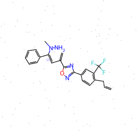 C=CCc1ccc(-c2noc(C(=C)/C=C(/c3ccccc3)N(C)N)n2)cc1C(F)(F)F